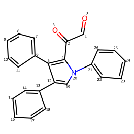 O=CC(=O)c1c(-c2ccccc2)c(-c2ccccc2)cn1-c1ccccc1